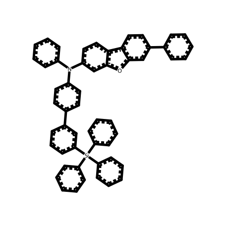 c1ccc(-c2ccc3c(c2)oc2cc(N(c4ccccc4)c4ccc(-c5cccc([Si](c6ccccc6)(c6ccccc6)c6ccccc6)c5)cc4)ccc23)cc1